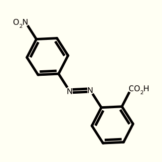 O=C(O)c1ccccc1N=Nc1ccc([N+](=O)[O-])cc1